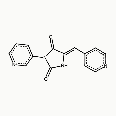 O=C1N/C(=C\c2ccncc2)C(=O)N1c1cccnc1